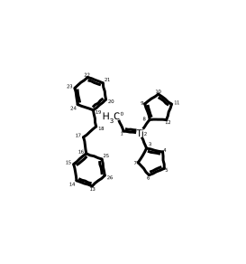 C[CH]=[Ti]([C]1=CC=CC1)[C]1=CC=CC1.c1ccc(CCc2ccccc2)cc1